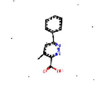 Cc1cc(-c2ccccc2)nnc1C(=O)O